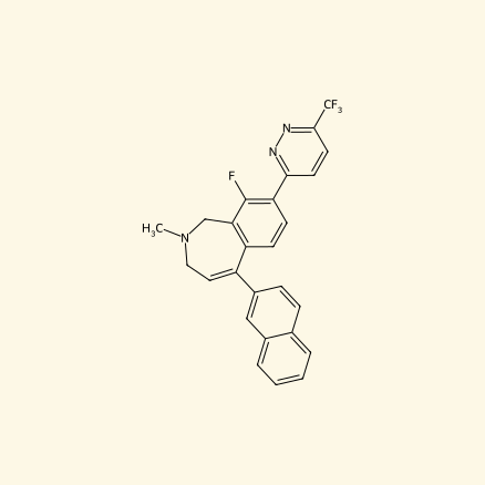 CN1CC=C(c2ccc3ccccc3c2)c2ccc(-c3ccc(C(F)(F)F)nn3)c(F)c2C1